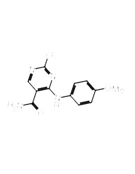 COc1ccc(Nc2nc(Cl)ncc2C(N)=O)cc1